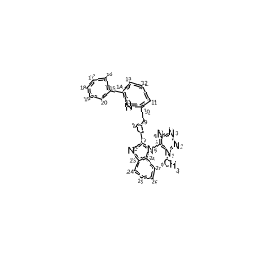 Cn1nnnc1-n1c(OCc2cccc(-c3ccccc3)n2)nc2ccccc21